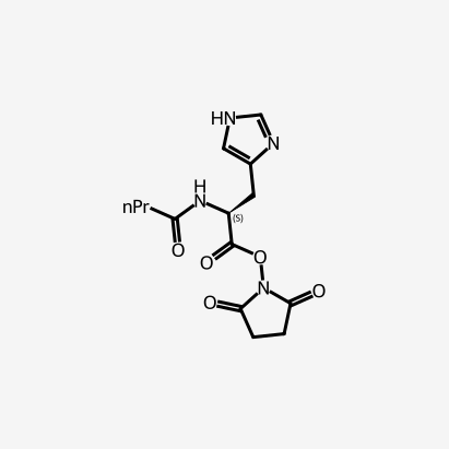 CCCC(=O)N[C@@H](Cc1c[nH]cn1)C(=O)ON1C(=O)CCC1=O